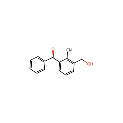 N#Cc1c(CO)cccc1C(=O)c1ccccc1